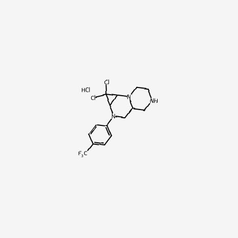 Cl.FC(F)(F)c1ccc(N2CC3CNCCN3C3C2C3(Cl)Cl)cc1